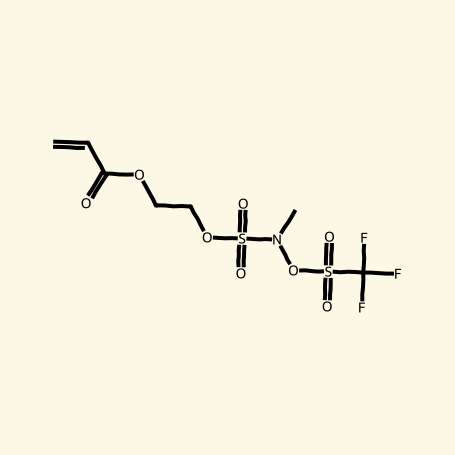 C=CC(=O)OCCOS(=O)(=O)N(C)OS(=O)(=O)C(F)(F)F